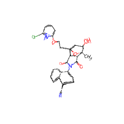 CC12OC(CCOc3cccc(Cl)n3)(CC1O)C1C(=O)N(c3ccc(C#N)c4ccccc34)C(=O)C12